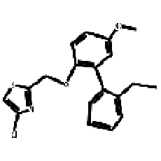 CCc1ccccc1-c1cc(OC)ccc1OCc1nc(Cl)cs1